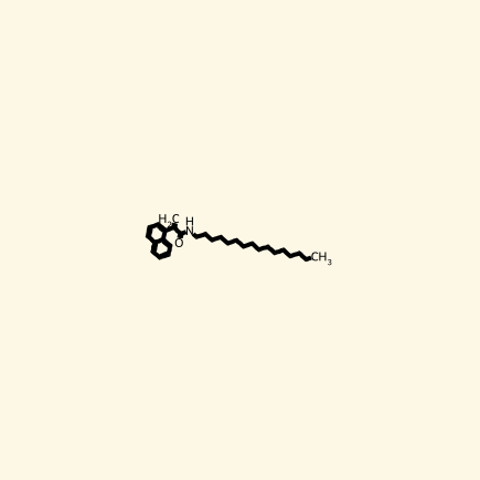 C=C(C(=O)NCCCCCCCCCCCCCCCC)c1cccc2ccccc12